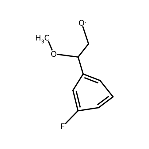 COC(C[O])c1cccc(F)c1